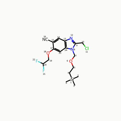 C[Si](C)(C)CCOCn1c(CCl)nc2cc(C#N)c(OCC(F)F)cc21